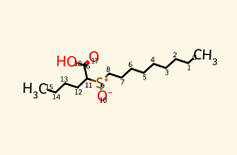 CCCCCCCCC[S+]([O-])C(CCCC)C(=O)O